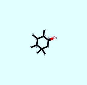 CC1C(=O)CC(C)(C)C(C)C1C